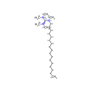 CCCCCCCCCCCCCCCCCN(C)C(N(C)C)=[N+](C)C